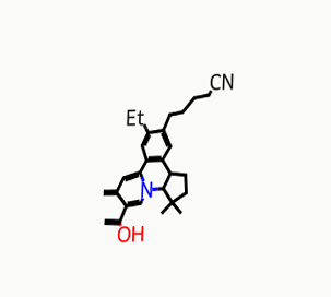 C=C(O)C1=CN2C(=CC1=C)c1cc(CC)c(CCCCC#N)cc1C1CCC(C)(C)C12